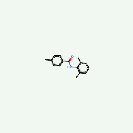 [CH2]c1ccc(C(=O)Nc2c(C)cccc2C)cc1